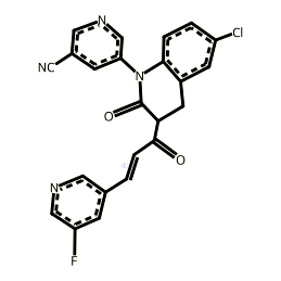 N#Cc1cncc(N2C(=O)C(C(=O)/C=C/c3cncc(F)c3)Cc3cc(Cl)ccc32)c1